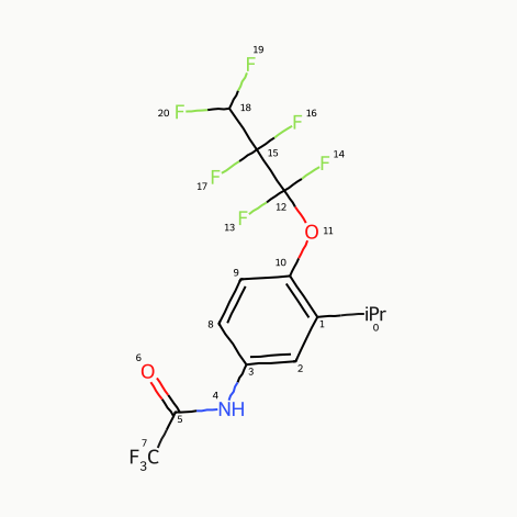 CC(C)c1cc(NC(=O)C(F)(F)F)ccc1OC(F)(F)C(F)(F)C(F)F